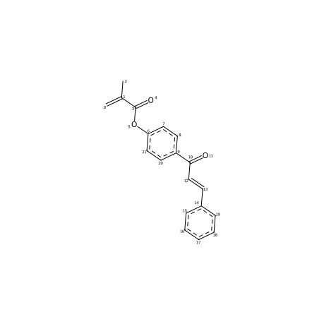 C=C(C)C(=O)Oc1ccc(C(=O)/C=C/c2ccccc2)cc1